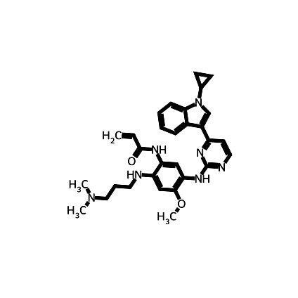 C=CC(=O)Nc1cc(Nc2nccc(-c3cn(C4CC4)c4ccccc34)n2)c(OC)cc1NCCCN(C)C